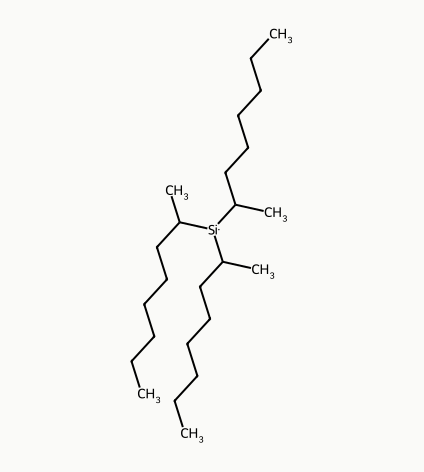 CCCCCCC(C)[Si](C(C)CCCCCC)C(C)CCCCCC